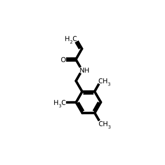 C=CC(=O)NCc1c(C)cc(C)cc1C